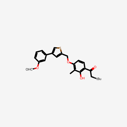 Cc1c(OCc2cc(-c3cccc(OC=O)c3)cs2)ccc(C(=O)CC(C)(C)C)c1O